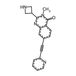 Cn1c(C2CNC2)nc2cc(C#Cc3ccccn3)ccc2c1=O